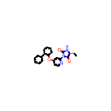 CC[C@H]1NC(=O)N(c2cc(Oc3ccccc3-c3ccccc3)ccn2)C1=O